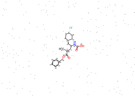 C[As](CC(C[C@H]1CC[C@H](F)CC1)NC(=O)O)C(=O)OCc1ccccc1